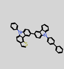 c1ccc(-c2ccc(-n3c4ccccc4c4cc(-c5ccc6c(c5)c5c7sccc7ccc5n6-c5ccccc5)ccc43)cc2)cc1